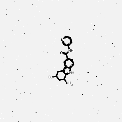 CCC(C)C1Cc2c([nH]c3ccc(C(=O)Nc4cccnc4)cc23)C(N)C1